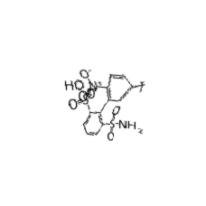 NS(=O)(=O)c1cccc(S(=O)(=O)O)c1-c1cc(F)ccc1[N+](=O)[O-]